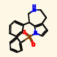 O=S(=O)(c1ccccc1)n1ccc2c1C(c1ccccc1)CNCC2